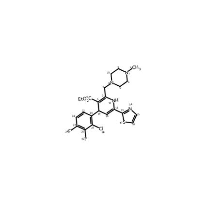 CCOC(=O)C1=C(CN2CCN(C)CC2)NC(c2nccs2)=CC1c1ccc(F)c(F)c1Cl